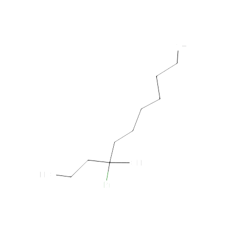 CCCCCCCC(C)(Br)CCC